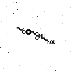 CCCCOc1ccc(CCOC(=O)NCCCCN=C=O)cc1